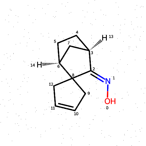 O/N=C1/[C@@H]2CC[C@@H](C2)C12CC=CC2